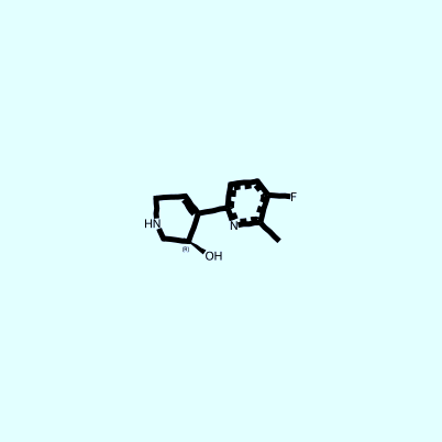 Cc1nc(C2=CCNC[C@@H]2O)ccc1F